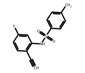 C#Cc1ccc(F)cc1NS(=O)(=O)c1ccc(C)cc1